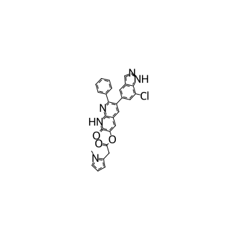 Cn1cccc1CC(=O)Oc1cc2cc(-c3cc(Cl)c4[nH]ncc4c3)c(-c3ccccc3)nc2[nH]c1=O